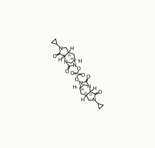 O=C1[C@@H]2[C@@H](C[C@@H]3CN2C(=O)N3OS(=O)(=O)ON2C(=O)N3C[C@H]2C[C@H]2CN(C4CC4)C(=O)[C@H]23)CN1C1CC1